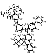 CC1(C)CCC(C)(C)c2cc(-c3cccc(N(c4ccc(-c5ccccc5)cc4)c4ccc5c(c4)C4(c6ccccc6-5)C5CC6CC7CC4C75C6)c3)ccc21